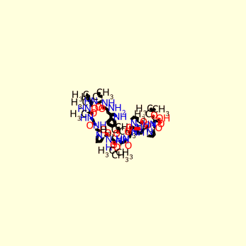 CC[C@H](C)[C@H](NC(=O)[C@H](CC(C)C)NC(=O)[C@@H](N)Cc1c[nH]c2ccccc12)C(=O)N[C@@H](C)C(=O)NCC(=O)NCC(=O)N1CCC[C@H]1C(=O)N[C@@H](COC(C)(C)C)C(=O)N[C@@H](COC(C)(C)C)C(=O)NCC(=O)N[C@@H](C)C(=O)N1CCC[C@H]1C(=O)N1CCC[C@H]1C(=O)N1CCC[C@H]1C(=O)N[C@@H](COC(C)(C)C)C(=O)O